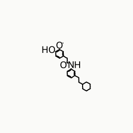 COc1cc(CC(=O)Nc2cccc(CCC3CCCCC3)c2)ccc1O